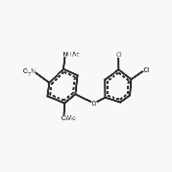 COc1cc([N+](=O)[O-])c(NC(C)=O)cc1Oc1ccc(Cl)c(Cl)c1